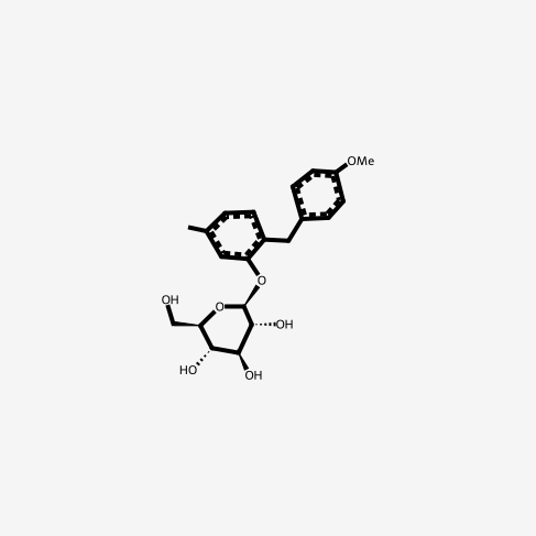 COc1ccc(Cc2ccc(C)cc2O[C@@H]2O[C@H](CO)[C@@H](O)[C@H](O)[C@H]2O)cc1